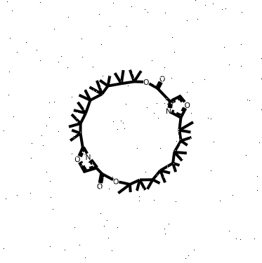 CC1(C)OC(=O)c2coc(n2)C(C)(C)C(C)(C)C(C)(C)C(C)(C)C(C)(C)C(C)(C)C(C)(C)C(C)(C)OC(=O)c2coc(n2)C(C)(C)C(C)(C)C(C)(C)C(C)(C)C(C)(C)C(C)(C)C1(C)C